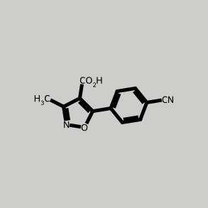 Cc1noc(-c2ccc(C#N)cc2)c1C(=O)O